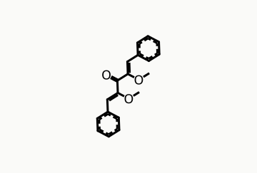 COC(=Cc1ccccc1)C(=O)C(=Cc1ccccc1)OC